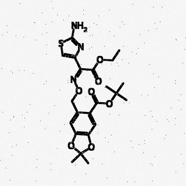 CCOC(=O)/C(=N\OCc1cc2c(cc1C(=O)OC(C)(C)C)OC(C)(C)O2)c1csc(N)n1